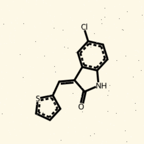 O=C1Nc2ccc(Cl)cc2C1=Cc1cccs1